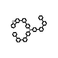 c1ccc(-c2cccc(-c3cccc(-c4ccc(N(c5ccc(-c6cccc(-c7cccc(-c8ccccc8)c7)c6)cc5)c5ccc(-c6cccc(-c7ccc8oc9ccccc9c8c7)c6)cc5)cc4)c3)c2)cc1